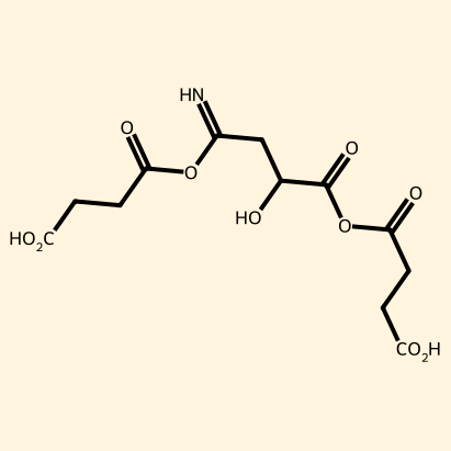 N=C(CC(O)C(=O)OC(=O)CCC(=O)O)OC(=O)CCC(=O)O